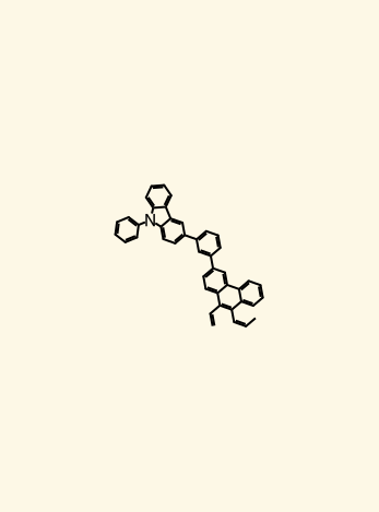 C=Cc1c(/C=C\C)c2ccccc2c2cc(-c3cccc(-c4ccc5c(c4)c4ccccc4n5-c4ccccc4)c3)ccc12